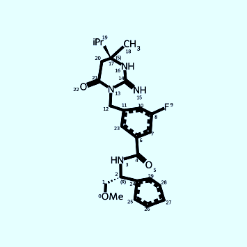 COC[C@H](NC(=O)c1cc(F)cc(CN2C(=N)N[C@](C)(C(C)C)CC2=O)c1)c1ccccc1